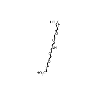 O=C(O)COCCOCCOCCNCCOCCOCCOCC(=O)O